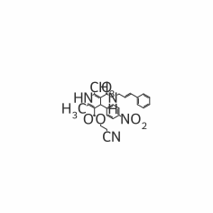 CC1=C(C(=O)NCC=Cc2ccccc2)C(c2ccc([N+](=O)[O-])cc2)C(C(=O)OCCC#N)=C(C)N1